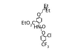 CCOC(=O)c1cc(OCCN(CC)CC)ccc1NC(=O)COc1ccc(C(F)(F)F)cc1Cl